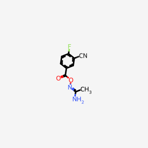 C/C(N)=N\OC(=O)c1ccc(F)c(C#N)c1